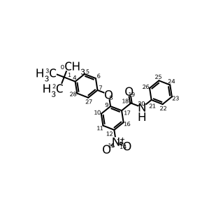 CC(C)(C)c1ccc(Oc2ccc([N+](=O)[O-])cc2C(=O)Nc2ccccc2)cc1